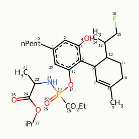 CCCCCc1cc(O)c(C2C=C(C)CCC2C(C)CF)c(OP(=O)(NC(C)C(=O)OC(C)C)C(=O)OCC)c1